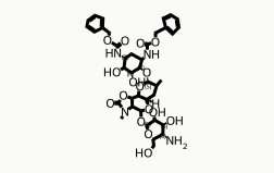 CC1C[C@@H]2OC(O[C@H]3OC(CO)[C@@H](N)[C@H](O)C3O)C3C(OC(=O)N3C)C2O[C@@H]1O[C@@H]1C(NC(=O)OCc2ccccc2)C[C@@H](NC(=O)OCc2ccccc2)C(O)[C@H]1O